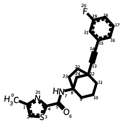 Cc1csc(C(=O)NC23CCCC(C#Cc4cccc(F)c4)(CC2)C3)n1